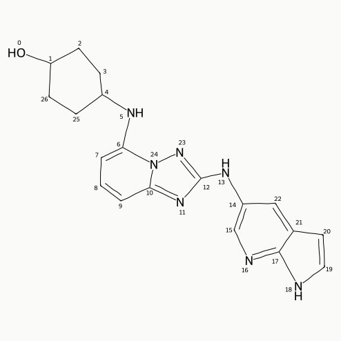 OC1CCC(Nc2cccc3nc(Nc4cnc5[nH]ccc5c4)nn23)CC1